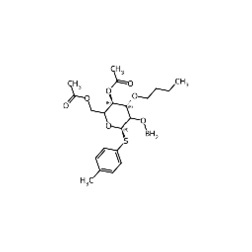 BOC1[C@@H](Sc2ccc(C)cc2)OC(COC(C)=O)[C@@H](OC(C)=O)[C@@H]1OCCCC